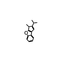 CC(C)C1=Cc2c(oc3ccccc23)C1C